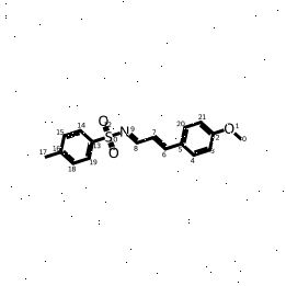 COc1ccc(C=CC=NS(=O)(=O)c2ccc(C)cc2)cc1